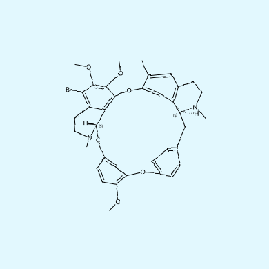 COc1ccc2cc1Oc1ccc(cc1)C[C@H]1c3cc(c(C)cc3CCN1C)Oc1c(OC)c(OC)c(Br)c3c1[C@H](C2)N(C)CC3